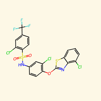 O=S(=O)(Nc1ccc(Oc2nc3c(Cl)cccc3s2)c(Cl)c1)c1ccc(C(F)(F)F)cc1Cl